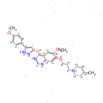 COc1ccc(-c2cc(Oc3ncnc4cc(OCCCN5CCC(C)CC5)c(OC)cc34)n[nH]2)cc1